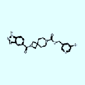 O=C(OCc1cncc(Br)c1)N1CCC2(CC1)CN(C(=O)c1ccc3[nH]nnc3c1)C2